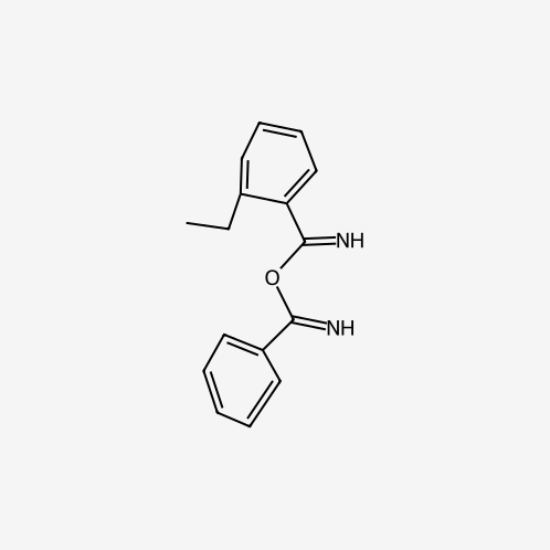 CCc1ccccc1C(=N)OC(=N)c1ccccc1